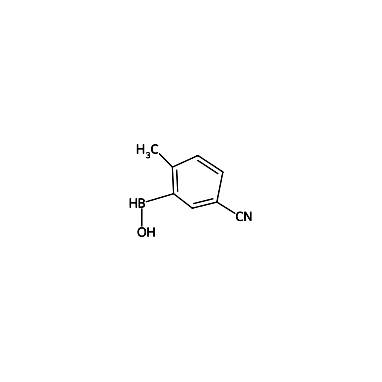 Cc1ccc(C#N)cc1BO